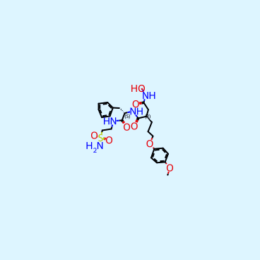 COc1ccc(OCCC[C@H](CC(=O)NO)C(=O)N[C@@H](Cc2ccccc2)C(=O)NCCS(N)(=O)=O)cc1